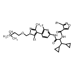 CCc1c(-c2ccc(NC(=O)C(NC(=O)c3conc3C(C)C)C(C3CC3)C3CC3)nc2F)c(C)nn1COCC[Si](C)(C)C